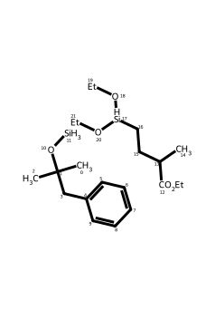 CC(C)(Cc1ccccc1)O[SiH3].CCOC(=O)C(C)CC[SiH](OCC)OCC